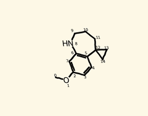 COc1ccc2c(c1)NCCCC21CC1